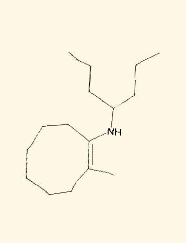 CCCC(CCC)N/C1=C(\C)CCCCCC1